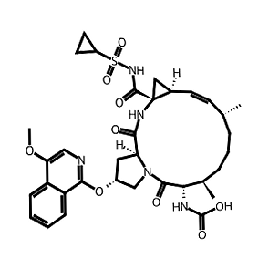 COc1cnc(O[C@@H]2C[C@H]3C(=O)N[C@]4(C(=O)NS(=O)(=O)C5CC5)C[C@H]4/C=C\[C@H](C)CCC[C@@H](C)[C@H](NC(=O)O)C(=O)N3C2)c2ccccc12